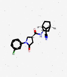 N#CC1[C@H]2CC[C@@H]1[C@H](NC(=O)[C@H]1CC(=O)N(c3cccc(Br)c3)C1)C2